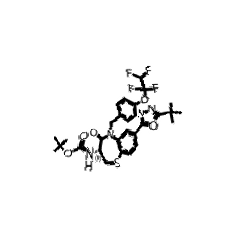 CC(C)(C)OC(=O)N[C@H]1CSc2ccc(-c3nnc(C(C)(C)C)o3)cc2N(Cc2ccc(OC(F)(F)C(F)F)cc2)C1=O